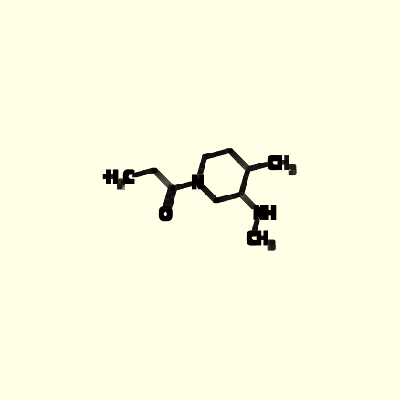 [CH2]CC(=O)N1CCC(C)C(NC)C1